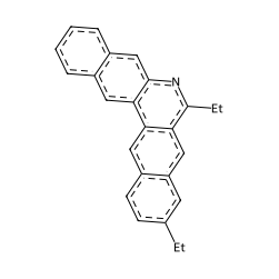 CCc1ccc2cc3c(cc2c1)c(CC)nc1cc2ccccc2cc13